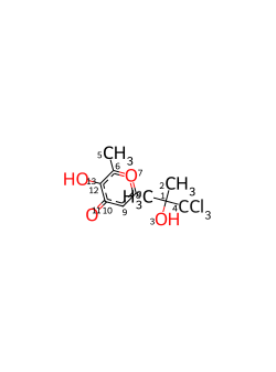 CC(C)(O)C(Cl)(Cl)Cl.Cc1occc(=O)c1O